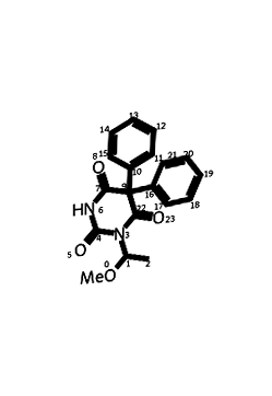 COC(C)N1C(=O)NC(=O)C(c2ccccc2)(c2ccccc2)C1=O